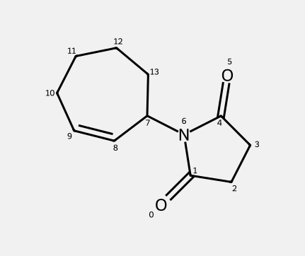 O=C1CCC(=O)N1C1C=CCCCC1